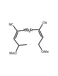 COC(C)C=C(C#N)C(=O)O.COCC=C(C#N)C(=O)O